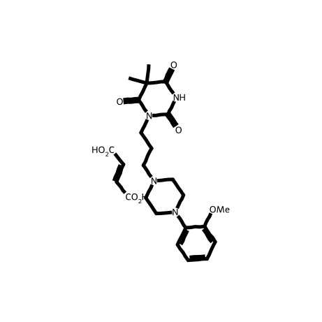 COc1ccccc1N1CCN(CCCN2C(=O)NC(=O)C(C)(C)C2=O)CC1.O=C(O)C=CC(=O)O